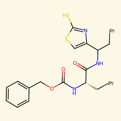 CC(C)CC(NC(=O)[C@H](CC(C)C)NC(=O)OCc1ccccc1)c1csc(S)n1